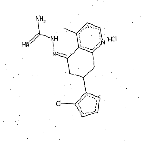 Cc1ccnc2c1/C(=N\NC(=N)N)CC(c1sccc1Cl)C2.Cl